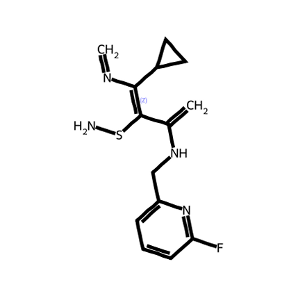 C=N/C(=C(\SN)C(=C)NCc1cccc(F)n1)C1CC1